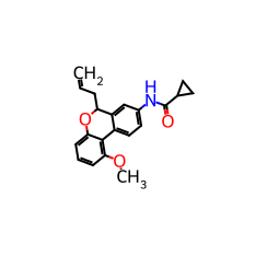 C=CCC1Oc2cccc(OC)c2-c2ccc(NC(=O)C3CC3)cc21